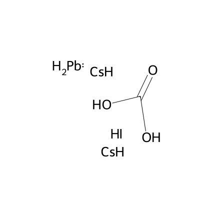 I.O=C(O)O.[CsH].[CsH].[PbH2]